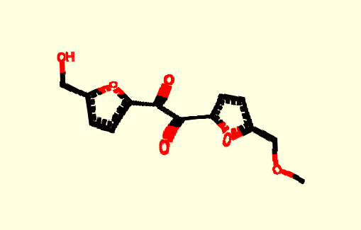 COCc1ccc(C(=O)C(=O)c2ccc(CO)o2)o1